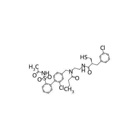 CCCC(=O)N(CCNC(=O)[C@@H](CS)Cc1cccc(Cl)c1)Cc1ccc(-c2ccccc2S(=O)(=O)NC(C)=O)c(Cl)c1